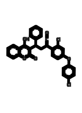 O=C=C(CC(c1ccccc1)c1c(O)c2ccccc2oc1=O)c1ccc(Oc2ccc(Cl)cc2)cc1Cl